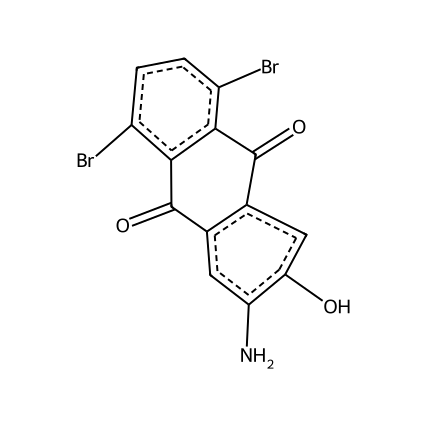 Nc1cc2c(cc1O)C(=O)c1c(Br)ccc(Br)c1C2=O